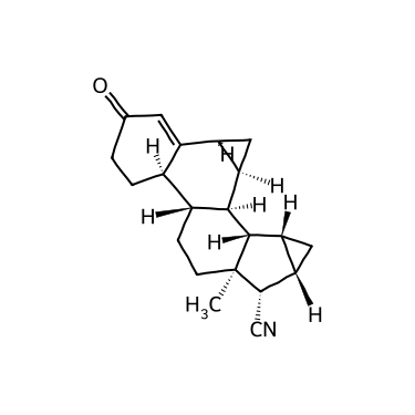 C[C@]12CC[C@H]3[C@@H]([C@@H]4C[C@@H]4C4=CC(=O)CC[C@@H]43)[C@@H]1[C@@H]1C[C@@H]1[C@@H]2C#N